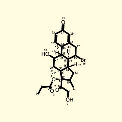 CCC(=O)O[C@]1(C(=O)CO)C(C)C[C@H]2[C@@H]3C(Br)CC4=CC(=O)C=C[C@]4(C)[C@H]3C(O)C[C@@]21C